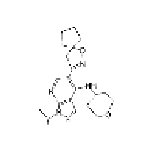 CC(C)n1ncc2c(NC3CCOCC3)c(C3=NOC4(CCCC4)C3)cnc21